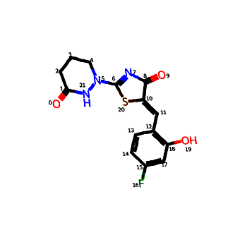 O=C1CCCN(C2=NC(=O)/C(=C/c3ccc(F)cc3O)S2)N1